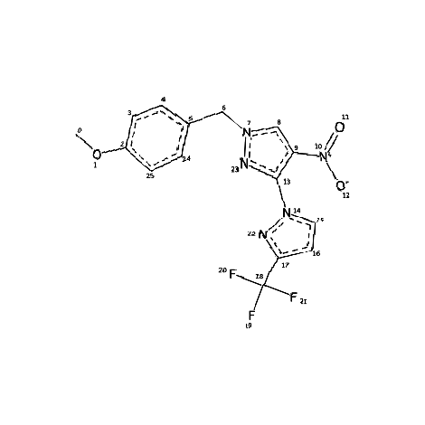 COc1ccc(Cn2cc([N+](=O)[O-])c(-n3ccc(C(F)(F)F)n3)n2)cc1